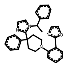 CC(c1ccccc1)n1ccnc1C1(c2ccccc2)CCN(c2ccccc2-c2ncco2)CC1